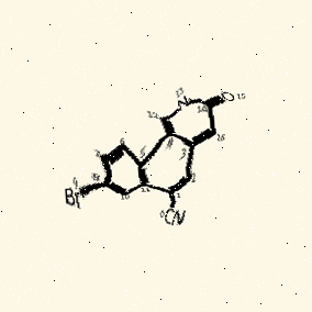 N#Cc1cc2c(c3ccc(Br)cc13)=C[N]C(=O)C=2